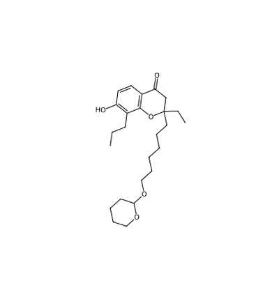 CCCc1c(O)ccc2c1OC(CC)(CCCCCCOC1CCCCO1)CC2=O